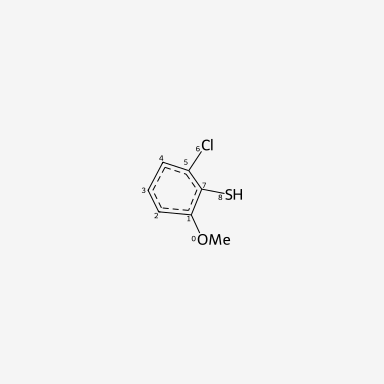 COc1cccc(Cl)c1S